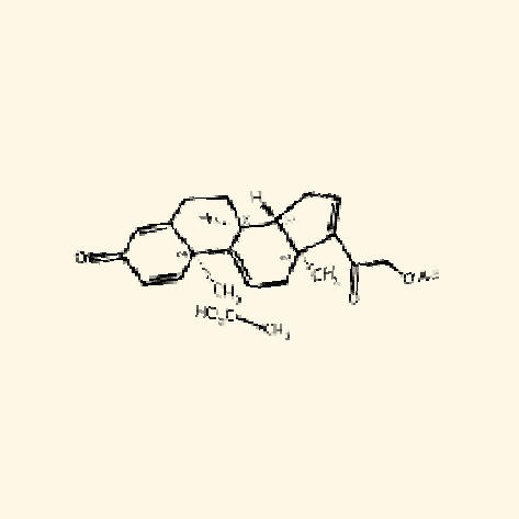 CC(=O)O.CC(=O)OCC(=O)C1=CC[C@H]2[C@@H]3CCC4=CC(=O)C=C[C@]4(C)C3=CC[C@]12C